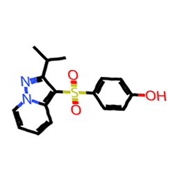 CC(C)c1nn2ccccc2c1S(=O)(=O)c1ccc(O)cc1